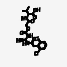 CC(C)[C@H](NC(=O)COC(=O)NC(=N)NC(=O)Cc1c(Cl)cccc1Cl)C(=O)O